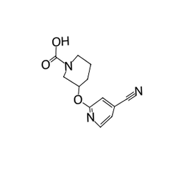 N#Cc1ccnc(OC2CCCN(C(=O)O)C2)c1